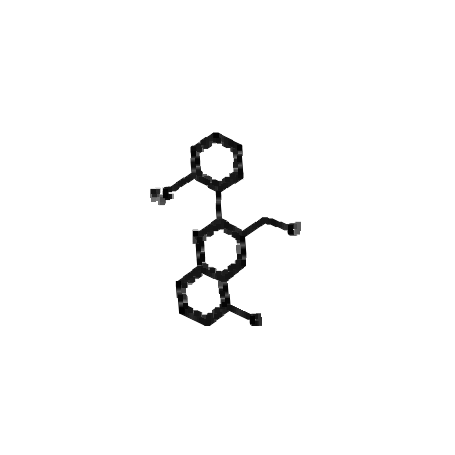 FC(F)(F)c1ccccc1-c1nc2cccc(Cl)c2cc1CCl